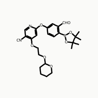 [C-]#[N+]c1cnc(Oc2ccc(B3OC(C)(C)C(C)(C)O3)c(C=O)c2)cc1OCCOC1CCCCO1